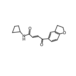 O=C(/C=C/C(=O)c1ccc2c(c1)CCO2)NC1CCC1